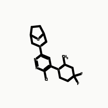 CC1CC(F)(F)CCN1c1cc(N2CC3CCC(C2)O3)nnc1Cl